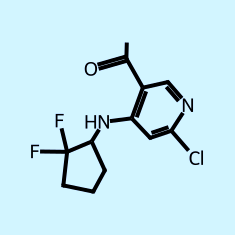 CC(=O)c1cnc(Cl)cc1NC1CCCC1(F)F